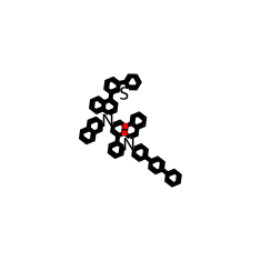 c1ccc(-c2ccc(-c3ccc(N(c4ccc5ccccc5c4)c4ccccc4-c4cccc(N(c5ccc6ccccc6c5)c5ccc(-c6cccc7c6sc6ccccc67)c6ccccc56)c4)cc3)cc2)cc1